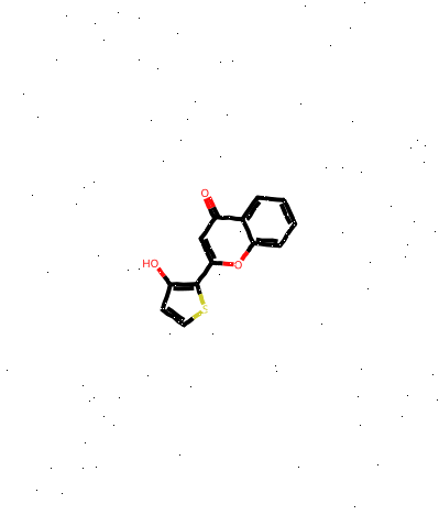 O=c1cc(-c2sccc2O)oc2ccccc12